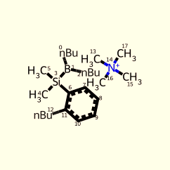 CCCCB(CCCC)[Si](C)(C)c1ccccc1CCCC.C[N+](C)(C)C